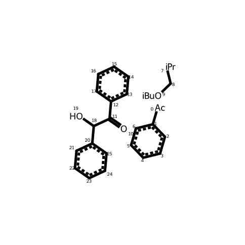 CC(=O)c1ccccc1.CC(C)COCC(C)C.O=C(c1ccccc1)C(O)c1ccccc1